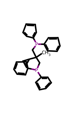 CC(CP(c1ccccc1)c1ccccc1)(CP(c1ccccc1)c1ccccc1)C1CC1